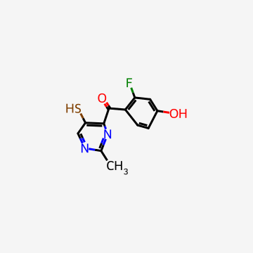 Cc1ncc(S)c(C(=O)c2ccc(O)cc2F)n1